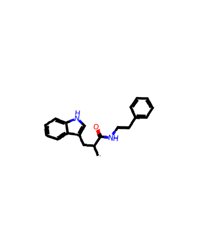 [CH2]C(Cc1c[nH]c2ccccc12)C(=O)NCCc1ccccc1